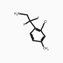 Cc1ccc(C(F)(F)CN)c(Cl)c1